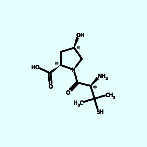 CC(C)(S)[C@H](N)C(=O)N1C[C@H](O)C[C@H]1C(=O)O